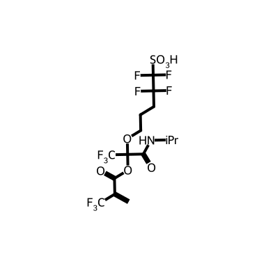 C=C(C(=O)OC(OCCCC(F)(F)C(F)(F)S(=O)(=O)O)(C(=O)NC(C)C)C(F)(F)F)C(F)(F)F